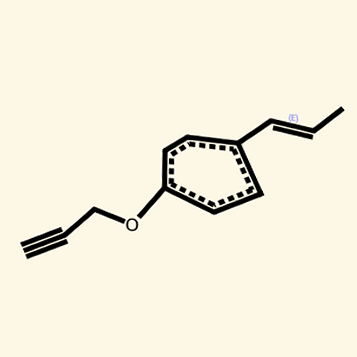 C#CCOc1ccc(/C=C/C)cc1